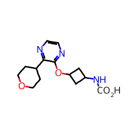 O=C(O)NC1CC(Oc2nccnc2C2CCOCC2)C1